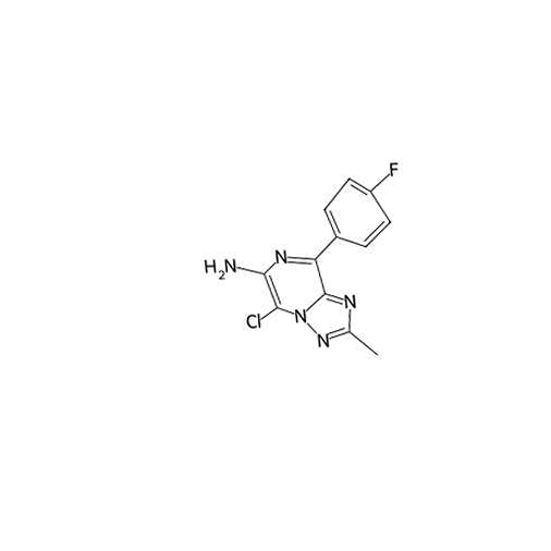 Cc1nc2c(-c3ccc(F)cc3)nc(N)c(Cl)n2n1